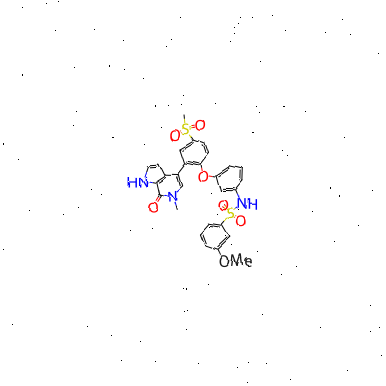 COc1cccc(S(=O)(=O)Nc2cccc(Oc3ccc(S(C)(=O)=O)cc3-c3cn(C)c(=O)c4[nH]ccc34)c2)c1